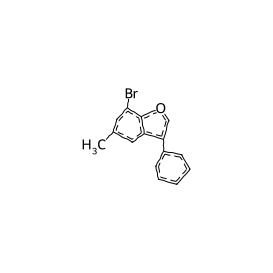 Cc1cc(Br)c2occ(-c3ccccc3)c2c1